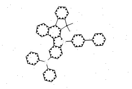 CC1(C)c2ccccc2-c2c1c1c(c3ccccc23)c2cc(N(c3ccccc3)c3ccccc3)ccc2n1-c1ccc(-c2ccccc2)cc1